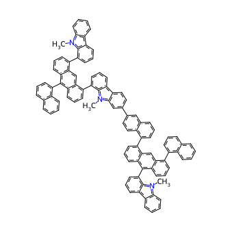 Cn1c2ccccc2c2cccc(-c3cccc4c(-c5cccc6ccccc56)c5cccc(-c6cccc7c8ccc(-c9ccc%10c(-c%11cccc%12c(-c%13cccc%14c%15ccccc%15n(C)c%13%14)c%13cccc(-c%14cccc%15ccccc%14%15)c%13cc%11%12)cccc%10c9)cc8n(C)c67)c5cc34)c21